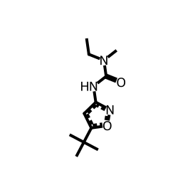 CCN(C)C(=O)Nc1cc(C(C)(C)C)on1